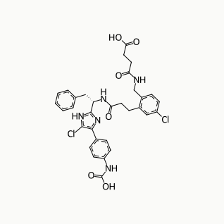 O=C(O)CCC(=O)NCc1ccc(Cl)cc1CCC(=O)N[C@@H](Cc1ccccc1)c1nc(-c2ccc(NC(=O)O)cc2)c(Cl)[nH]1